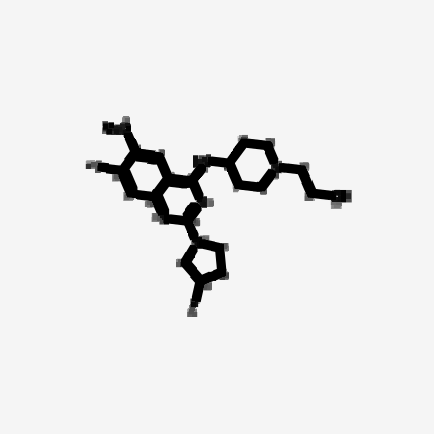 COc1cc2c(NC3CCN(CCO)CC3)nc(N3CCC(F)C3)nc2cc1I